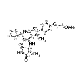 COCCOc1ccc(-c2sc3nc(-c4cccs4)nc(NC4=C(C)C(=O)NC4=O)c3c2C)cc1